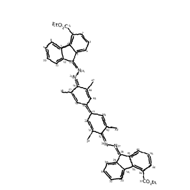 CCOC(=O)c1cccc2c1-c1ccccc1C2=NN=C1C(C)=CC(=C2C=C(C)C(=NN=C3c4ccccc4-c4c(C(=O)OCC)cccc43)C(C)=C2)C=C1C